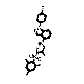 Cc1cc(C)c(S(=O)(=O)NC(C)CNc2cccc3c2cnn3-c2ccc(F)cc2)c(C)c1